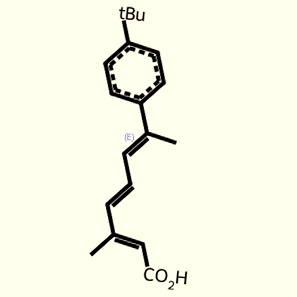 CC(C=C/C=C(\C)c1ccc(C(C)(C)C)cc1)=CC(=O)O